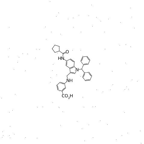 O=C(O)c1cccc(NCc2cn(C(c3ccccc3)c3ccccc3)c3ccc(NC(=O)C4CCCC4)cc23)c1